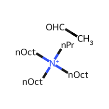 CC=O.CCCCCCCC[N+](CCC)(CCCCCCCC)CCCCCCCC